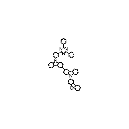 c1ccc(-c2nc(-c3ccccc3)nc(-c3cccc(-n4c5ccccc5c5cc(-c6ccc7c(c6)c6ccccc6n7-c6ccc7oc8ccccc8c7c6)ccc54)c3)n2)cc1